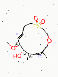 CO[C@H]1/C=C/CCS(=O)(=O)CCOC/C(C)=C\[C@@H](C)[C@@H]1O